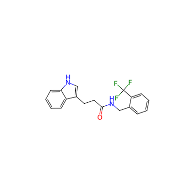 O=C(CCc1c[nH]c2ccccc12)NCc1ccccc1C(F)(F)F